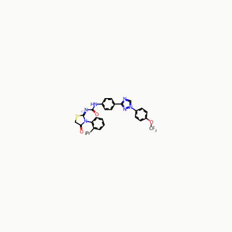 CC(C)c1ccccc1N1C(=O)CS/C1=N/C(=O)Nc1ccc(-c2ncn(-c3ccc(OC(F)(F)F)cc3)n2)cc1